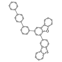 c1ccc(-c2ccc(-c3cccc(-c4cc(-c5ccc6sc7ccccc7c6c5)c5oc6ccccc6c5c4)c3)cc2)cc1